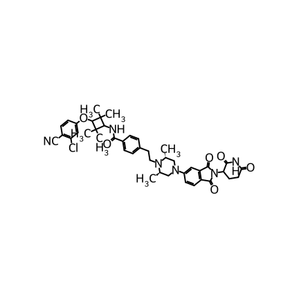 C[C@@H]1CN(c2ccc3c(c2)C(=O)N(C2CCC(=O)NC2=O)C3=O)C[C@@H](C)N1CCc1ccc(C(=O)NC2C(C)(C)C(Oc3ccc(C#N)c(Cl)c3)C2(C)C)cc1